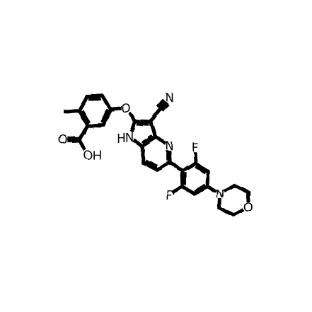 Cc1ccc(Oc2[nH]c3ccc(-c4c(F)cc(N5CCOCC5)cc4F)nc3c2C#N)cc1C(=O)O